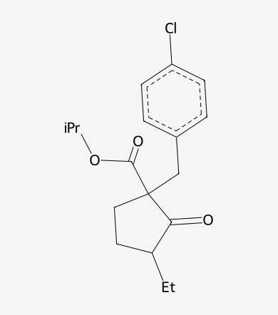 CCC1CCC(Cc2ccc(Cl)cc2)(C(=O)OC(C)C)C1=O